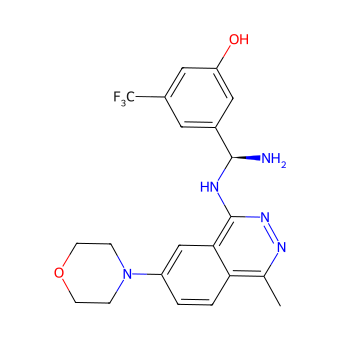 Cc1nnc(N[C@H](N)c2cc(O)cc(C(F)(F)F)c2)c2cc(N3CCOCC3)ccc12